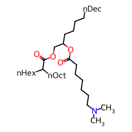 CCCCCCCCCCCCCCC(COC(=O)C(CCCCCC)CCCCCCCC)OC(=O)CCCCCCN(C)C